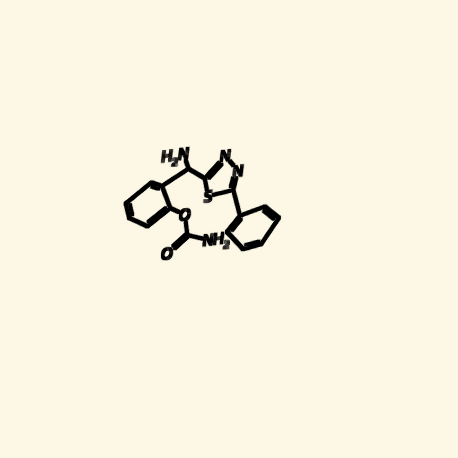 NC(=O)Oc1ccccc1C(N)c1nnc(-c2ccccc2)s1